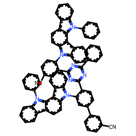 N#Cc1cccc(-c2ccc(-c3nc(-c4ccccc4)nc(-c4cc(C#N)ccc4-n4c5ccccc5c5c4ccc4c6ccccc6n(-c6ccccc6)c45)n3)c(-n3c4ccccc4c4c3ccc3c5ccccc5n(-c5ccccc5)c34)c2)c1